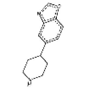 c1nc2cc(C3CCNCC3)ccc2o1